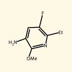 CCc1nc(OC)c(N)cc1F